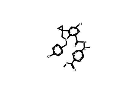 COC(=O)c1ccc([C@H](C)NC(=O)c2cc(Cl)cc3c2N(Cc2ccc(Cl)cc2)CC32CC2)cc1